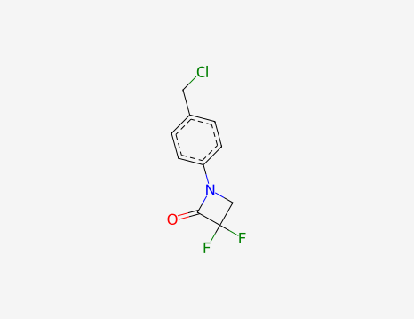 O=C1N(c2ccc(CCl)cc2)CC1(F)F